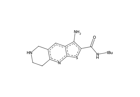 CC(C)(C)NC(=O)c1sc2nc3c(cc2c1N)CNCC3